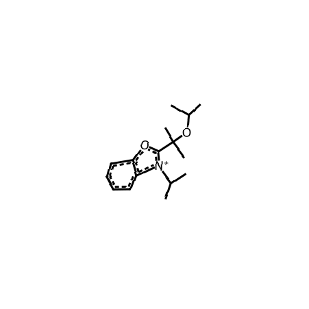 CC(C)OC(C)(C)c1oc2ccccc2[n+]1C(C)C